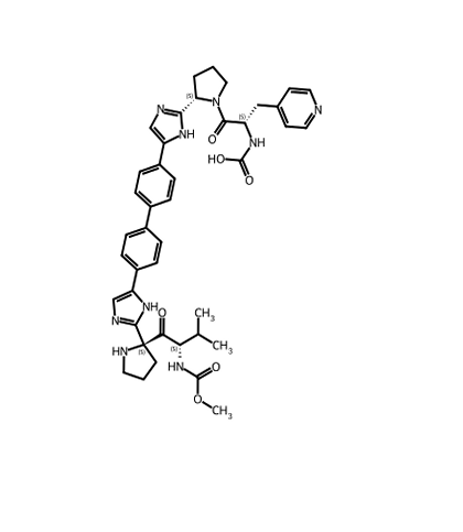 COC(=O)N[C@H](C(=O)[C@@]1(c2ncc(-c3ccc(-c4ccc(-c5cnc([C@@H]6CCCN6C(=O)[C@H](Cc6ccncc6)NC(=O)O)[nH]5)cc4)cc3)[nH]2)CCCN1)C(C)C